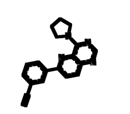 C#Cc1cccc(-c2ccc3ncnc(N4CCCC4)c3n2)c1